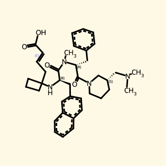 CN(C)C[C@@H]1CCCN(C(=O)[C@@H](Cc2ccccc2)N(C)C(=O)[C@@H](Cc2ccc3ccccc3c2)NC2(C/C=C/C(=O)O)CCC2)C1